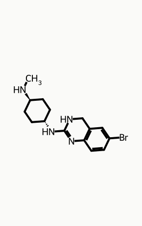 CN[C@H]1CC[C@H](NC2=Nc3ccc(Br)cc3CN2)CC1